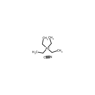 CC[As+](CC)(CC)CC.[C-]#N